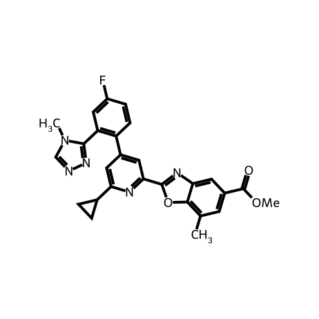 COC(=O)c1cc(C)c2oc(-c3cc(-c4ccc(F)cc4-c4nncn4C)cc(C4CC4)n3)nc2c1